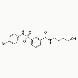 O=C(NCCCCO)c1cccc(S(=O)(=O)Nc2ccc(Br)cc2)c1